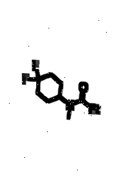 CCC(=O)N(C)C1CCC(F)(F)CC1